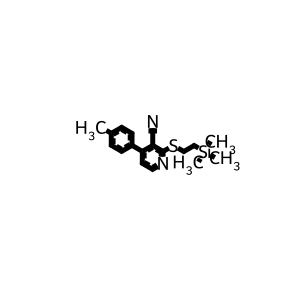 Cc1ccc(-c2ccnc(SCC[Si](C)(C)C)c2C#N)cc1